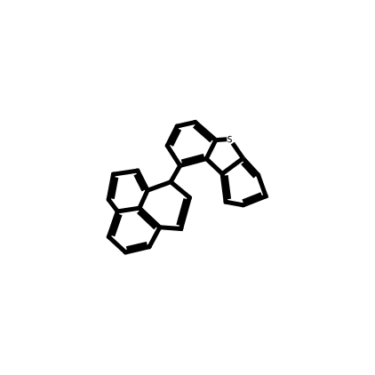 C1=CC(c2cccc3sc4ccccc4c23)c2cccc3cccc1c23